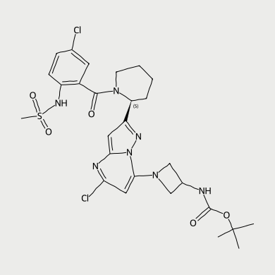 CC(C)(C)OC(=O)NC1CN(c2cc(Cl)nc3cc([C@@H]4CCCCN4C(=O)c4cc(Cl)ccc4NS(C)(=O)=O)nn23)C1